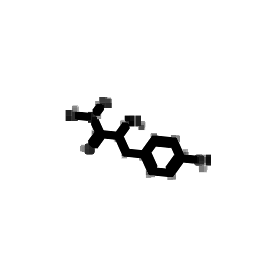 CCN(CC)C(=O)C(N)Cc1ccc(O)cc1